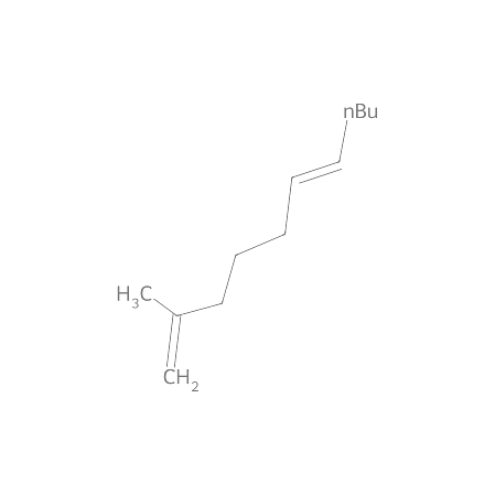 C=C(C)CCCC=CCCCC